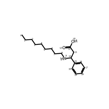 CCCCCCCCCNC(CC(=O)O)c1ccccc1